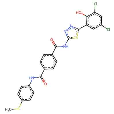 CSc1ccc(NC(=O)c2ccc(C(=O)Nc3nnc(-c4cc(Cl)cc(Cl)c4O)s3)cc2)cc1